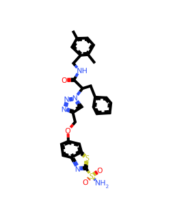 Cc1ccc(C)c(CNC(=O)C(Cc2ccccc2)n2cc(COc3ccc4nc(S(N)(=O)=O)sc4c3)nn2)c1